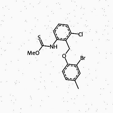 COC(=S)Nc1cccc(Cl)c1COc1ccc(C)cc1Br